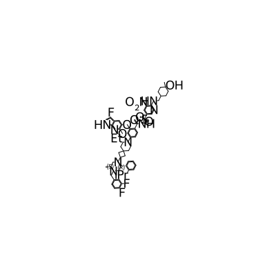 CCOc1nc2[nH]cc(F)c2cc1Oc1cc(N2CCC3(CC2)CC(N2C[C@H](C)N(Cc4ccc(F)c(F)c4)C[C@H]2c2ccccc2C(C)C)C3)ccc1C(=O)NS(=O)(=O)c1cnc(NCC2CCC(C)(O)CC2)c([N+](=O)[O-])c1